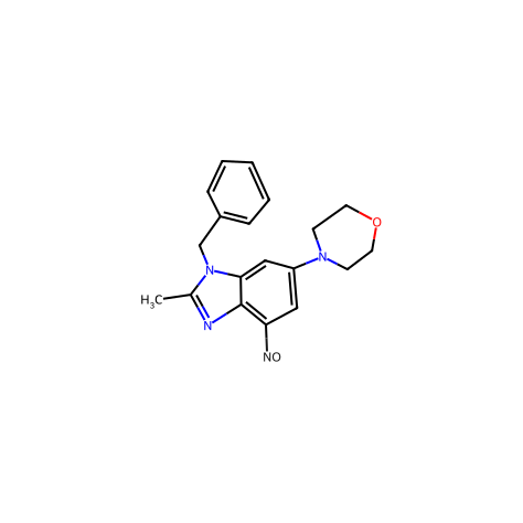 Cc1nc2c(N=O)cc(N3CCOCC3)cc2n1Cc1ccccc1